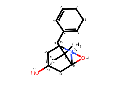 CC(C)(CC1=CCCC=C1)C12CC(O)CCN1O2